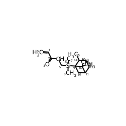 C=CC(=O)OC[Si](C)(C)C12CC(CCC1C)C2(C)C